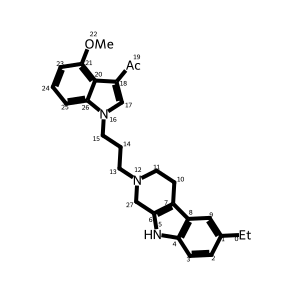 CCc1ccc2[nH]c3c(c2c1)CCN(CCCn1cc(C(C)=O)c2c(OC)cccc21)C3